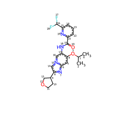 CC(C)Oc1cc2nc(C3CCOC3)cn2cc1NC(=O)c1cccc(C(F)F)n1